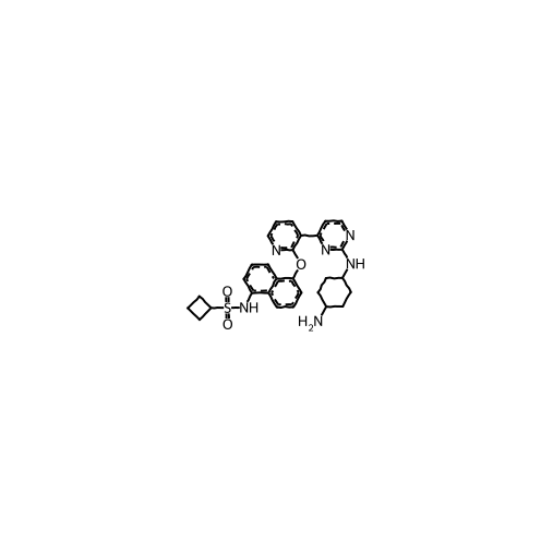 NC1CCC(Nc2nccc(-c3cccnc3Oc3cccc4c(NS(=O)(=O)C5CCC5)cccc34)n2)CC1